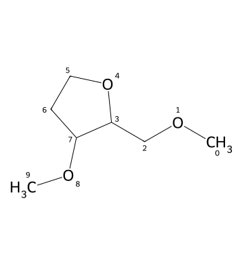 COCC1OCCC1OC